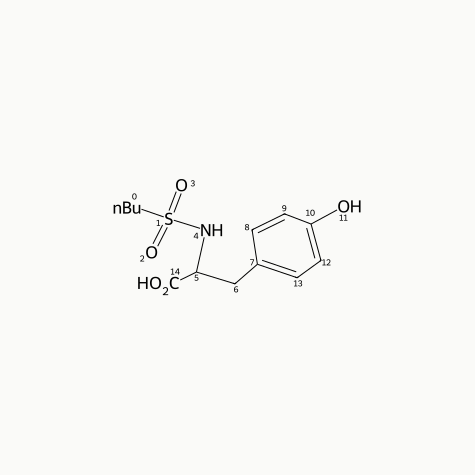 CCCCS(=O)(=O)NC(Cc1ccc(O)cc1)C(=O)O